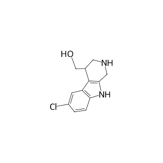 OCC1CNCc2[nH]c3ccc(Cl)cc3c21